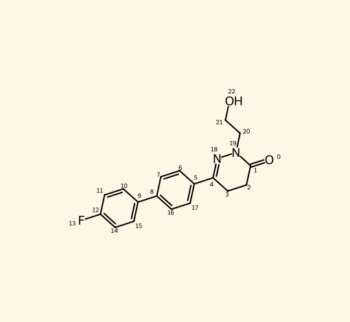 O=C1CCC(c2ccc(-c3ccc(F)cc3)cc2)=NN1CCO